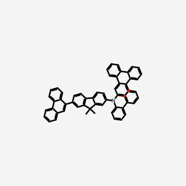 CC1(C)c2cc(-c3cc4ccccc4c4ccccc34)ccc2-c2ccc(N(c3ccc4c5ccccc5c5ccccc5c4c3)c3ccccc3-c3ccccc3)cc21